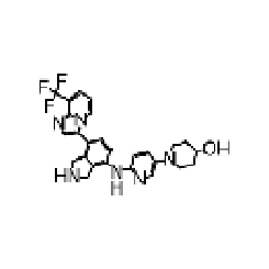 OC1CCN(c2ccc(Nc3ccc(-c4cnc5c(C(F)(F)F)cccn45)c4c3CNC4)nc2)CC1